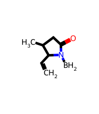 BN1C(=O)CC(C)C1C=C